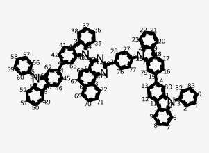 c1ccc(-n2c3ccccc3c3ccc(-c4ccc5c6ccccc6n(-c6ccc(-c7nc(-n8c9ccccc9c9ccc(-c%10ccc%11c%12ccccc%12n(-c%12ccccc%12)c%11c%10)cc98)c8ccc9ccccc9c8n7)cc6)c5c4)cc32)cc1